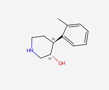 Cc1ccccc1[C@@H]1CCNC[C@H]1O